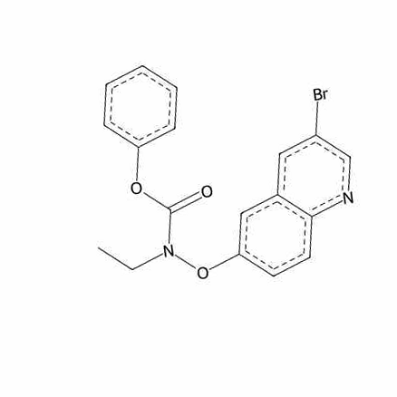 CCN(Oc1ccc2ncc(Br)cc2c1)C(=O)Oc1ccccc1